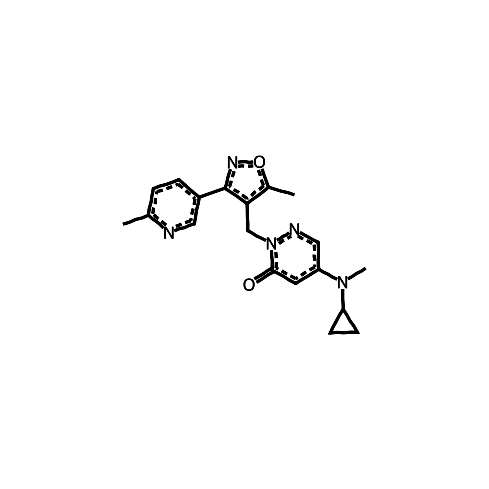 Cc1ccc(-c2noc(C)c2Cn2ncc(N(C)C3CC3)cc2=O)cn1